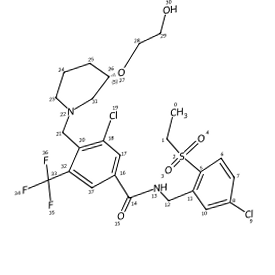 CCS(=O)(=O)c1ccc(Cl)cc1CNC(=O)c1cc(Cl)c(CN2CCC[C@H](OCCO)C2)c(C(F)(F)F)c1